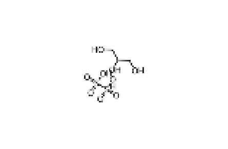 O=S(=O)(O)S(=O)(=O)O.OCC(O)CO